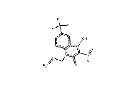 C=CCn1c(=O)c([N+](=O)[O-])c(O)c2cc(C(F)(F)F)ccc21